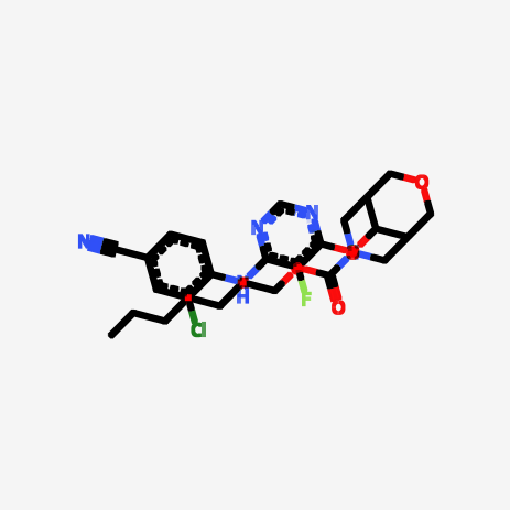 CCCCCCCOC(=O)N1CC2COCC(C1)C2Oc1ncnc(Nc2ccc(C#N)cc2Cl)c1F